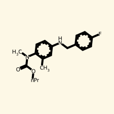 CCCOC(=O)N(C)c1ccc(NCc2ccc(F)cc2)cc1C